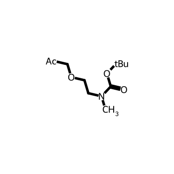 CC(=O)COCCN(C)C(=O)OC(C)(C)C